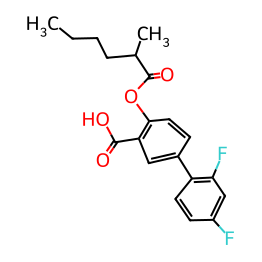 CCCCC(C)C(=O)Oc1ccc(-c2ccc(F)cc2F)cc1C(=O)O